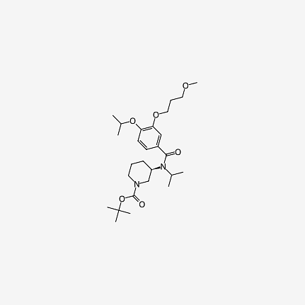 COCCCOc1cc(C(=O)N(C(C)C)[C@@H]2CCCN(C(=O)OC(C)(C)C)C2)ccc1OC(C)C